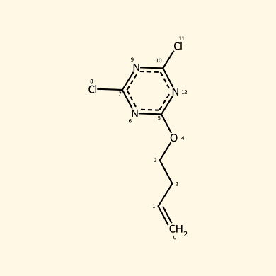 C=CCCOc1nc(Cl)nc(Cl)n1